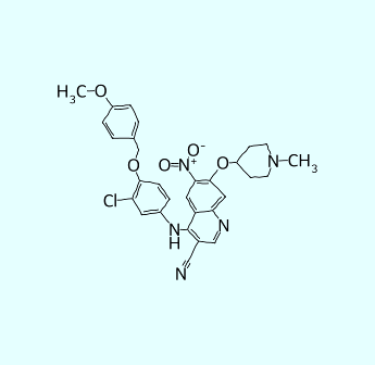 COc1ccc(COc2ccc(Nc3c(C#N)cnc4cc(OC5CCN(C)CC5)c([N+](=O)[O-])cc34)cc2Cl)cc1